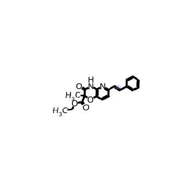 CCOC(=O)C1(C)Oc2ccc(/C=C/c3ccccc3)nc2NC1=O